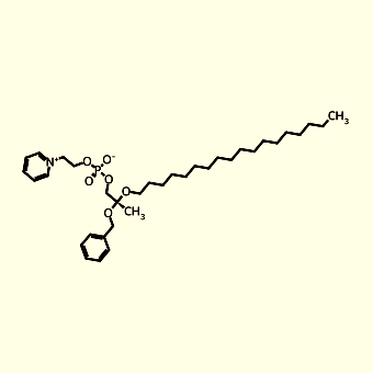 CCCCCCCCCCCCCCCCCCO[C@@](C)(COP(=O)([O-])OCC[n+]1ccccc1)OCc1ccccc1